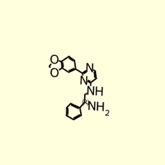 N[C@@H](CNc1ccnc(-c2ccc3c(c2)OCO3)n1)c1ccccc1